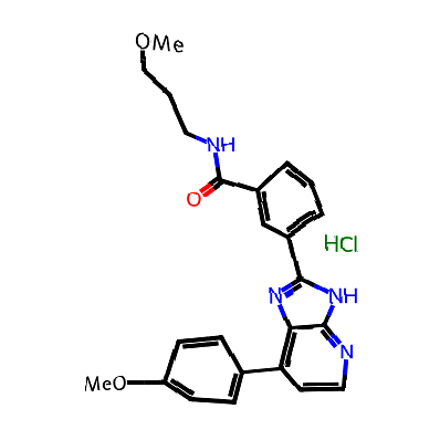 COCCCNC(=O)c1cccc(-c2nc3c(-c4ccc(OC)cc4)ccnc3[nH]2)c1.Cl